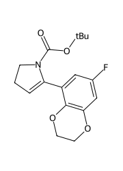 CC(C)(C)OC(=O)N1CCC=C1c1cc(F)cc2c1OCCO2